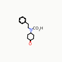 O=C1CCC(N(CCc2ccccc2)C(=O)O)CC1